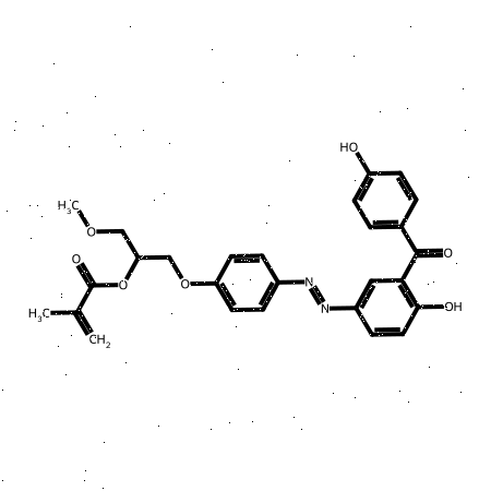 C=C(C)C(=O)OC(COC)COc1ccc(N=Nc2ccc(O)c(C(=O)c3ccc(O)cc3)c2)cc1